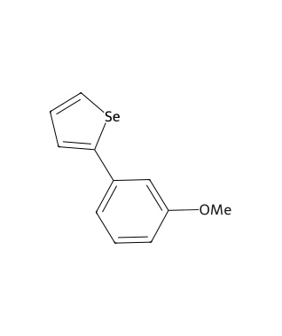 COc1cccc(-c2ccc[se]2)c1